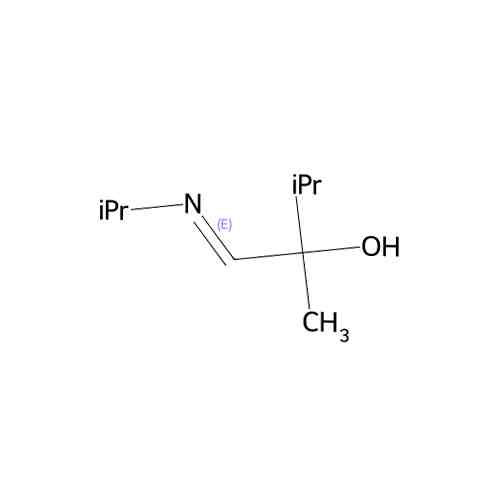 CC(C)/N=C/C(C)(O)C(C)C